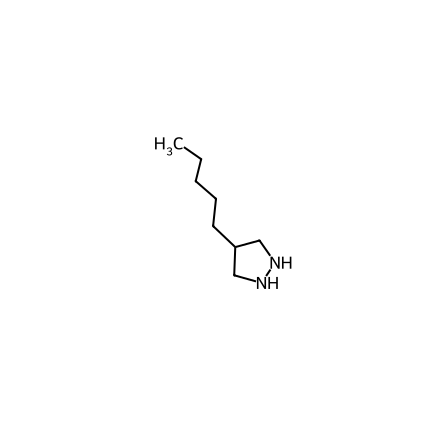 CCCCCC1CNNC1